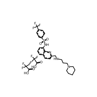 O=C(O)C(F)(F)F.O=C(O)C(F)(F)F.O=S(=O)(Nc1cccc2ccc(CNCCCN3CCCCC3)nc12)c1ccc(C(F)(F)F)cc1